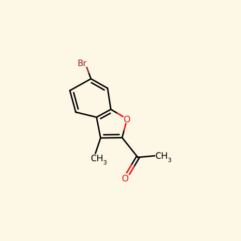 CC(=O)c1oc2cc(Br)ccc2c1C